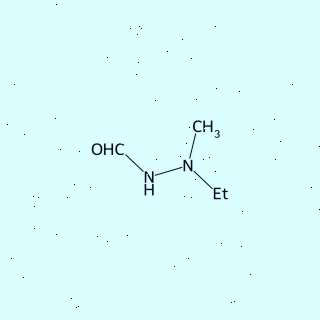 CCN(C)NC=O